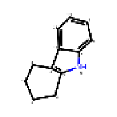 [CH]1CCCc2c1[nH]c1ccccc21